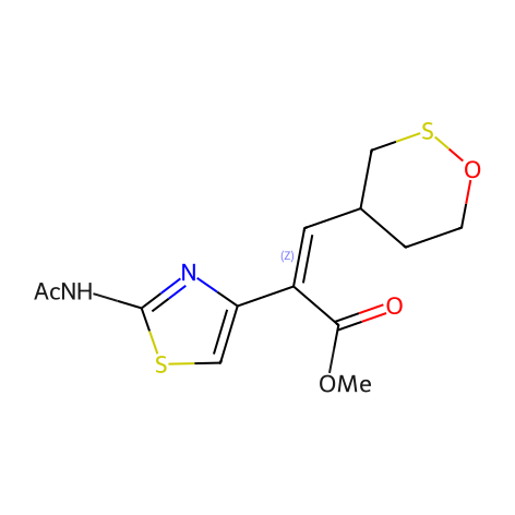 COC(=O)/C(=C\C1CCOSC1)c1csc(NC(C)=O)n1